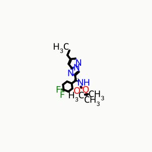 CCCc1cnn2cc([C@@H](NC(=O)OC(C)(C)C)C3CCC(F)(F)CC3)nc2c1